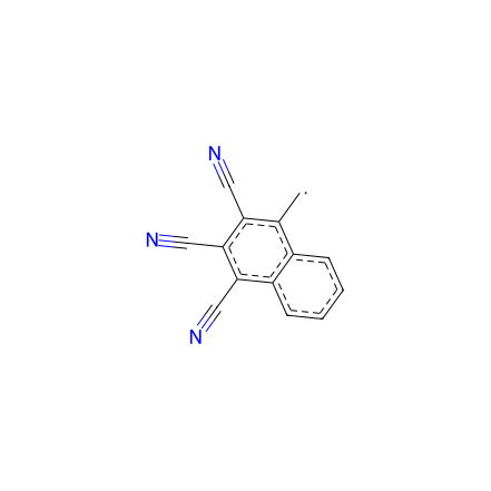 [CH2]c1c(C#N)c(C#N)c(C#N)c2ccccc12